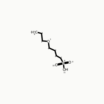 [CH2]CCOCCCCS(=O)(=O)O